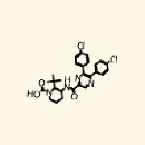 CC(C)(C)C1C(NC(=O)c2cnc(-c3ccc(Cl)cc3)c(-c3ccc(Cl)cc3)n2)CCCN1C(=O)O